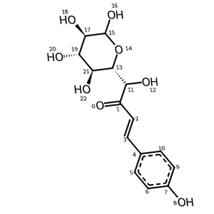 O=C(C=Cc1ccc(O)cc1)C(O)[C@H]1OC(O)[C@H](O)[C@@H](O)[C@@H]1O